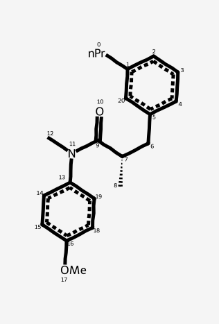 CCCc1cccc(C[C@H](C)C(=O)N(C)c2ccc(OC)cc2)c1